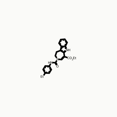 CCOC(=O)C1=CN(C(=O)Nc2ccc(CC)cc2)CCc2c1[nH]c1ccccc21